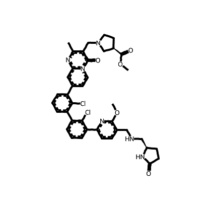 COC(=O)[C@@H]1CCN(Cc2c(C)nc3cc(-c4cccc(-c5cccc(-c6ccc(CNC[C@H]7CCC(=O)N7)c(OC)n6)c5Cl)c4Cl)ccn3c2=O)C1